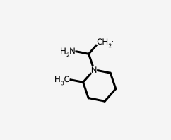 [CH2]C(N)N1CCCCC1C